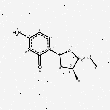 CC[C@H]1SC(n2ccc(N)nc2=O)C[C@@H]1C